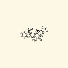 CC(=O)Nc1nc2c(ncn2-c2nc(O)c3ccccc3n2)c(=O)[nH]1